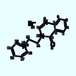 O=c1c2ccccc2ncn1CC[n+]1ccccc1.[Br-]